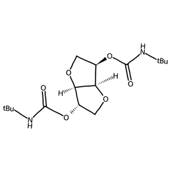 CC(C)(C)NC(=O)O[C@H]1CO[C@H]2[C@@H]1OC[C@H]2OC(=O)NC(C)(C)C